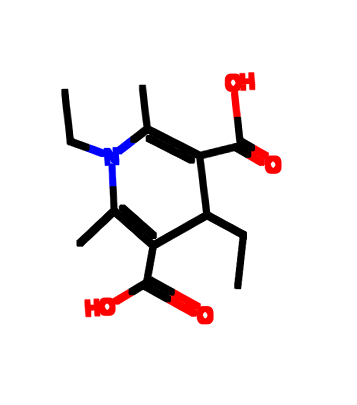 CCC1C(C(=O)O)=C(C)N(CC)C(C)=C1C(=O)O